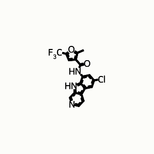 Cc1oc(C(F)(F)F)cc1C(=O)Nc1cc(Cl)cc2c1[nH]c1cnccc12